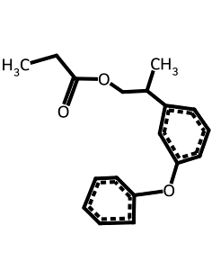 CCC(=O)OCC(C)c1cccc(Oc2ccccc2)c1